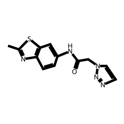 Cc1nc2ccc(NC(=O)Cn3ccnn3)cc2s1